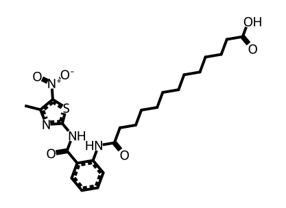 Cc1nc(NC(=O)c2ccccc2NC(=O)CCCCCCCCCCCC(=O)O)sc1[N+](=O)[O-]